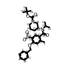 Cc1cc(OCc2ccccc2)c([N+](=O)[O-])cc1C(=O)N(C(C)C)[C@@H]1CCCN(C(=O)OC(C)(C)C)C1